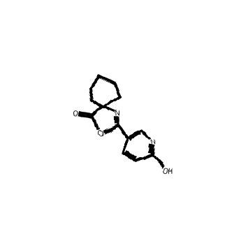 O=C1OC(c2ccc(O)nc2)=NC12CCCCC2